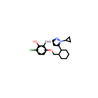 O=Cc1c(OCC2CCCCC2c2ccnn2C2CC2)ccc(Cl)c1O